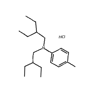 CCC(CC)CN(CC(CC)CC)c1ccc(C)cc1.Cl